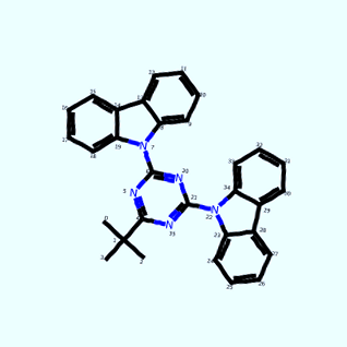 CC(C)(C)c1nc(-n2c3ccccc3c3ccccc32)nc(-n2c3ccccc3c3ccccc32)n1